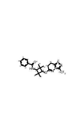 CC1(C)C(NC(=O)c2ccccc2)C(C)(C)C1OC1=Nn2c(nnc2C(F)(F)F)CC1